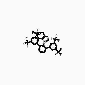 FC(F)(F)c1cc(-c2cccc(-c3cc(C(F)(F)F)cc(C(F)(F)F)c3)c2N2CSC3=C2CCCC3)cc(C(F)(F)F)c1